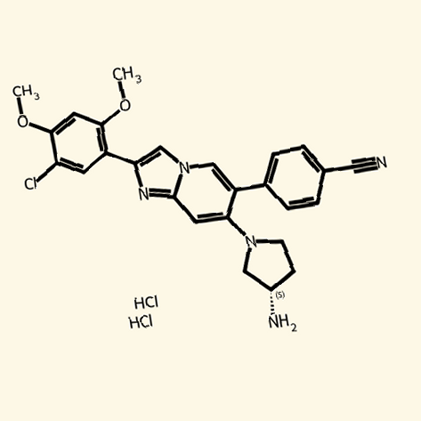 COc1cc(OC)c(-c2cn3cc(-c4ccc(C#N)cc4)c(N4CC[C@H](N)C4)cc3n2)cc1Cl.Cl.Cl